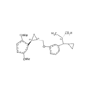 COc1ccc(OC)c([C@H]2C[C@@H]2COc2cccc(C(C3CC3)[C@H](C)C(=O)O)c2)c1